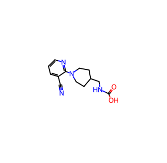 N#Cc1cccnc1N1CCC(CNC(=O)O)CC1